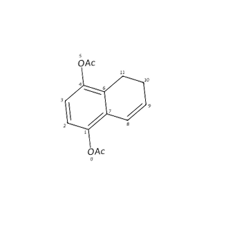 CC(=O)Oc1ccc(OC(C)=O)c2c1C=CCC2